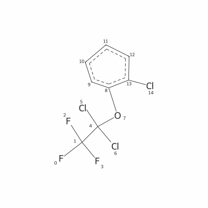 FC(F)(F)C(Cl)(Cl)Oc1ccccc1Cl